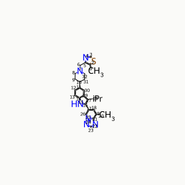 Cc1scnc1CN1CCC(c2ccc3[nH]c(-c4cc(C)c5ncnn5c4)c(C(C)C)c3c2)CC1